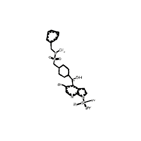 CC(C)[Si](C(C)C)(C(C)C)n1ccc2c([C@H](O)C3CCC(CS(=O)(=O)N(C)Cc4ccccc4)CC3)c(Br)cnc21